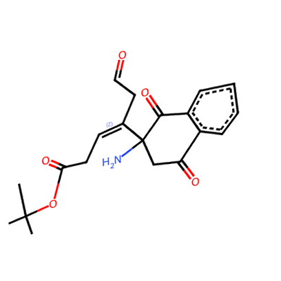 CC(C)(C)OC(=O)C/C=C(/CC=O)C1(N)CC(=O)c2ccccc2C1=O